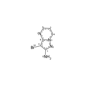 Nc1nn2cccnc2c1Br